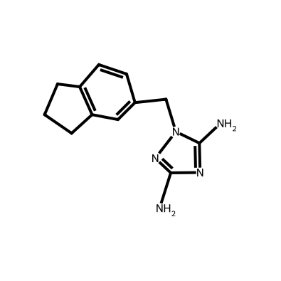 Nc1nc(N)n(Cc2ccc3c(c2)CCC3)n1